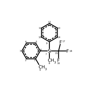 Cc1ccccc1[Si](C)(c1ccccc1)C(F)(F)F